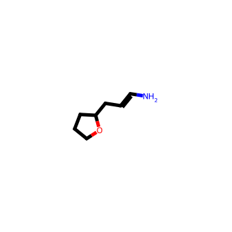 NC=CCC1CCCO1